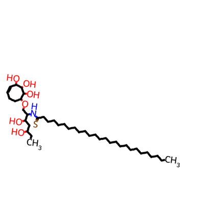 CCCCCCCCCCCCCCCCCCCCCCCCCC(=S)NC(COC1CC/C=C\C(O)C(O)C1O)C(O)CC(O)CC